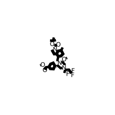 COC(=O)c1ccc([C@@H]2CN(C(C)CC(F)(F)F)CCN2Cc2c(OC)cc(C)c3c2ccn3C(=O)OC(C)(C)C)cc1